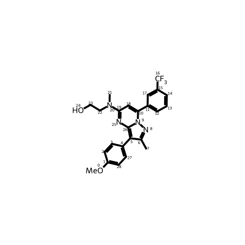 COc1ccc(-c2c(C)nn3c(-c4cccc(C(F)(F)F)c4)cc(N(C)CCO)nc23)cc1